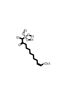 CCCCCCCC/C=C\CCCCCCCC(=O)C(CC)[Si](OCC)(OCC)OCC